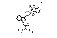 CN(C)C(=O)Cn1cc(C2CCN(S(=O)(=O)c3ccccc3C(F)(F)F)C2)c2ccccc21